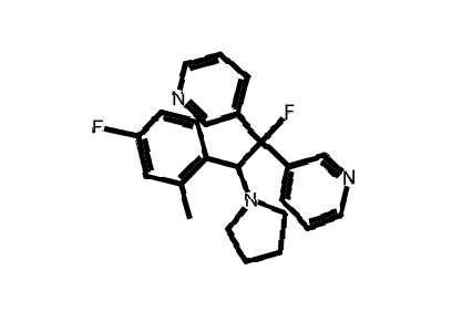 Cc1cc(F)ccc1C(N1CCCC1)C(F)(c1cccnc1)c1cccnc1